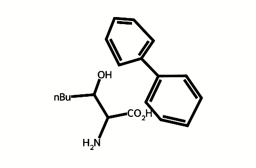 CCCCC(O)C(N)C(=O)O.c1ccc(-c2ccccc2)cc1